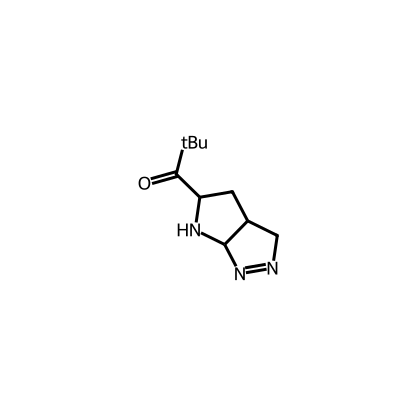 CC(C)(C)C(=O)C1CC2CN=NC2N1